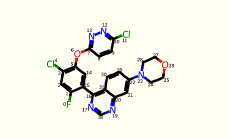 Fc1cc(Cl)c(Oc2ccc(Cl)nn2)cc1-c1ncnc2cc(N3CCOCC3)ccc12